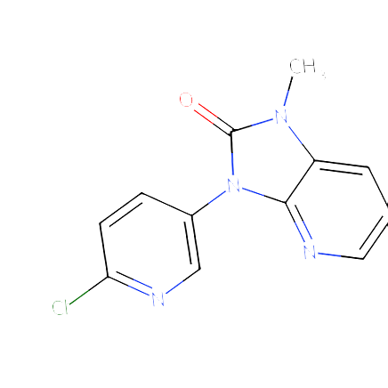 Cn1c(=O)n(-c2ccc(Cl)nc2)c2ncccc21